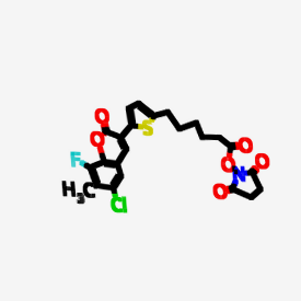 Cc1c(Cl)cc2cc(-c3ccc(CCCCCC(=O)ON4C(=O)CCC4=O)s3)c(=O)oc2c1F